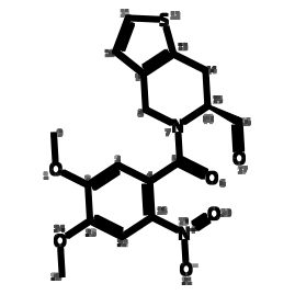 COc1cc(C(=O)N2Cc3ccsc3C[C@H]2C=O)c([N+](=O)[O-])cc1OC